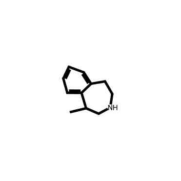 CC1CNCCc2ccccc21